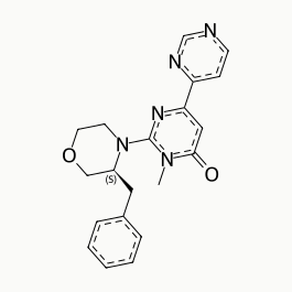 Cn1c(N2CCOC[C@@H]2Cc2ccccc2)nc(-c2ccncn2)cc1=O